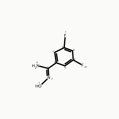 NC(=NO)c1cc(F)[c]c(F)c1